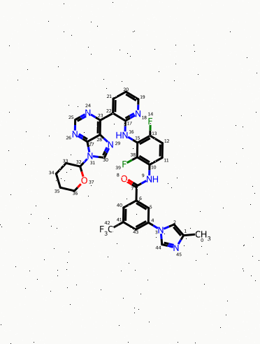 Cc1cn(-c2cc(C(=O)Nc3ccc(F)c(Nc4ncccc4-c4ncnc5c4ncn5C4CCCCO4)c3F)cc(C(F)(F)F)c2)cn1